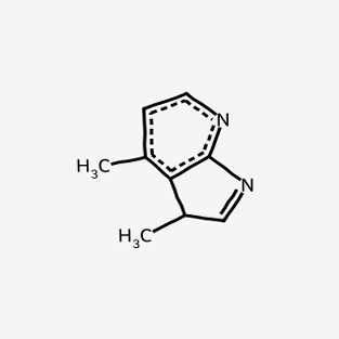 Cc1ccnc2c1C(C)C=N2